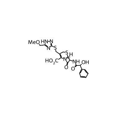 COCc1nc(SCC2=C(C(=O)O)N3C(=O)C(NC(=O)C(O)c4ccccc4)[C@@H]3SC2)n[nH]1